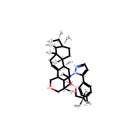 CN[C@@](C)(CO[C@H]1[C@H](n2nccc2-c2ccc(C(F)(F)F)cc2)C[C@@]23COC[C@]1(C)[C@@H]2CC[C@H]1C3=CCC2(C)C(C(=O)O)[C@@](C)([C@H](C)C(C)C)CC[C@]12C)C(C)C